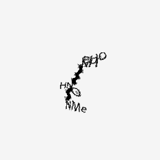 CNCCCC(=O)NCCCCCCNC=O